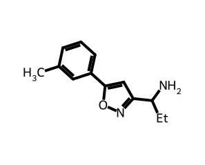 CCC(N)c1cc(-c2cccc(C)c2)on1